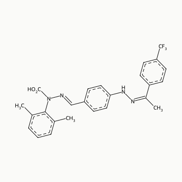 CC(=NNc1ccc(C=NN(C(=O)O)c2c(C)cccc2C)cc1)c1ccc(C(F)(F)F)cc1